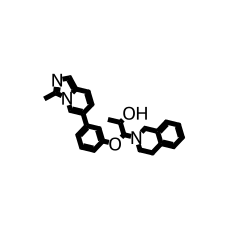 Cc1ncc2ccc(-c3cccc(OC(C(C)O)N4CCc5ccccc5C4)c3)cn12